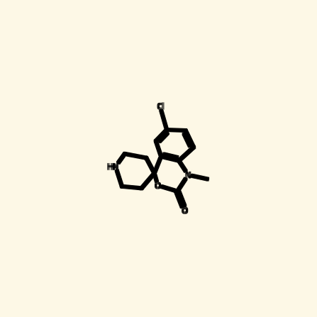 CN1C(=O)OC2(CCNCC2)c2cc(Cl)ccc21